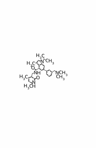 Cc1cc(C)c(CNC(=O)c2cc(-c3cccc(CN(C)C)c3)cc3c2c(C)cn3C(C)C)c(=O)[nH]1